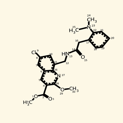 COC(=O)c1cc2cc(Cl)cc(CNC(=O)Cc3ccccc3N(C)C)c2nc1OC